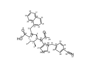 CC[C@H](C)[C@@H](CN(CC(=O)O)Cc1cccc2ccccc12)N(C(C)=O)c1cncn1Cc1ccc(C#N)cc1